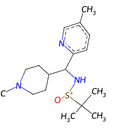 Cc1ccc(C(N[S+]([O-])C(C)(C)C)C2CCN(C)CC2)nc1